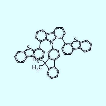 CC1(C)c2ccccc2-c2ccc(-n3c4c(-c5cccc6c5sc5ccccc56)cccc4c4cccc(-c5cccc6c5sc5ccccc56)c43)cc21